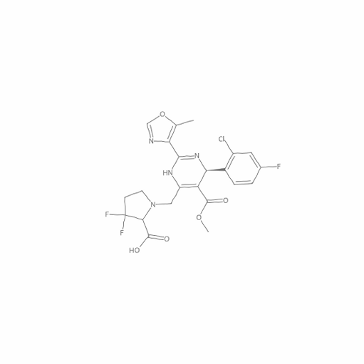 COC(=O)C1=C(CN2CCC(F)(F)C2C(=O)O)NC(c2ncoc2C)=N[C@H]1c1ccc(F)cc1Cl